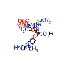 C[n+]1c2ccc(OC[C@H](O/N=C(\C(=O)N[C@@H]3C(=O)N(OS(=O)(=O)[O-])C3(C)C)c3csc(N)n3)C(=O)O)cc2cn1[C@@H]1CCNC1